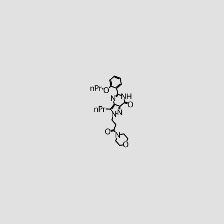 CCCOc1ccccc1-c1nc2c(CCC)n(CCC(=O)N3CCOCC3)nc2c(=O)[nH]1